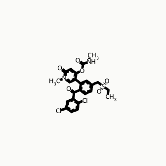 CCS(=O)(=O)Cc1ccc(C(=O)c2cc(Cl)ccc2Cl)c(-c2cn(C)c(=O)cc2OC(=O)NC)c1